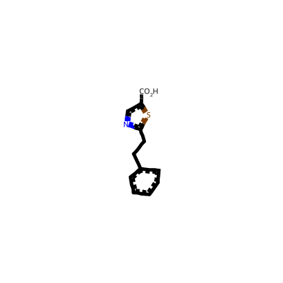 O=C(O)c1cnc(CCc2ccccc2)s1